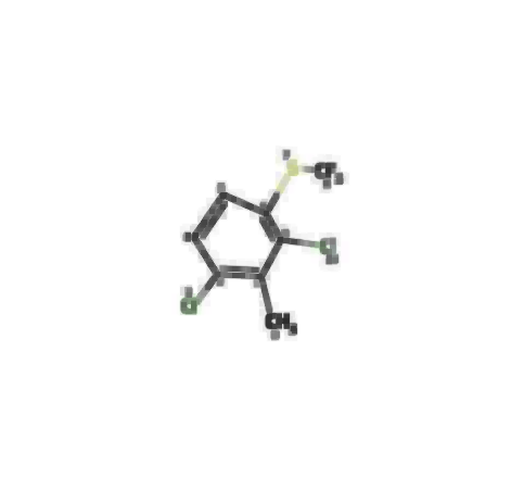 Cc1c(Cl)ccc(SC(F)(F)F)c1Cl